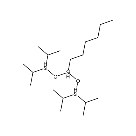 CCCCCC[SiH](O[SiH](C(C)C)C(C)C)O[SiH](C(C)C)C(C)C